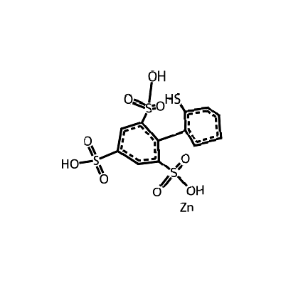 O=S(=O)(O)c1cc(S(=O)(=O)O)c(-c2ccccc2S)c(S(=O)(=O)O)c1.[Zn]